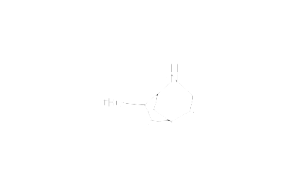 CC(C)(C)C1CC2CCNC1C2